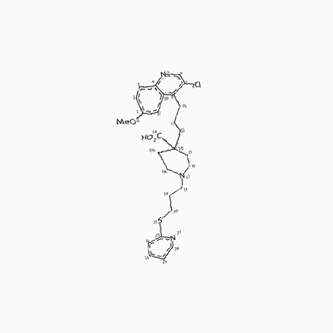 COc1ccc2ncc(Cl)c(CCCC3(C(=O)O)CCN(CCCSc4ccccn4)CC3)c2c1